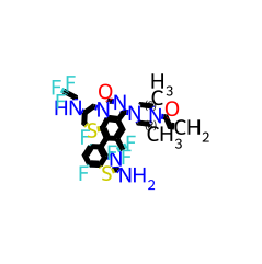 C=CC(=O)N1[C@H](C)CN(c2nc(=O)n3c4c(c(-c5c(F)cc(F)c6sc(N)nc56)c(C(F)(F)F)cc24)SCC(NCC(F)(F)F)C3)C[C@@H]1C